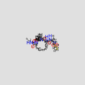 CCCNC(=O)C(=O)[C@@H]1CCCCCCCCC[C@H](NC(=O)N[C@H](CN(C)S(=O)(=O)c2cccs2)C(C)C)C(=O)N2C[C@H]3[C@@H]([C@H]2C(=O)N1)C3(C)C